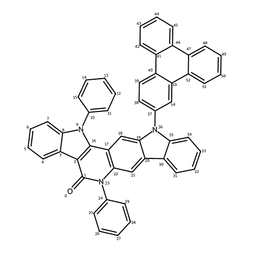 O=c1c2c3ccccc3n(-c3ccccc3)c2c2cc3c(cc2n1-c1ccccc1)c1ccccc1n3-c1ccc2c3ccccc3c3ccccc3c2c1